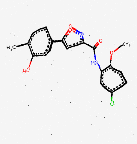 COc1ccc(Cl)cc1NC(=O)c1cc(-c2ccc(C)c(O)c2)on1